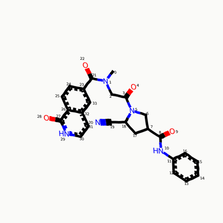 CN(CC(=O)N1CC(C(=O)Nc2ccccc2)CC1C#N)C(=O)c1ccc2c(=O)[nH]ccc2c1